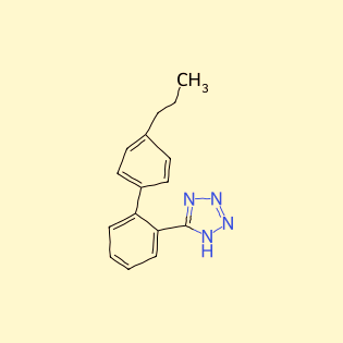 CCCc1ccc(-c2ccccc2-c2nnn[nH]2)cc1